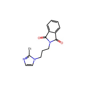 CCc1nccn1CCCN1C(=O)c2ccccc2C1=O